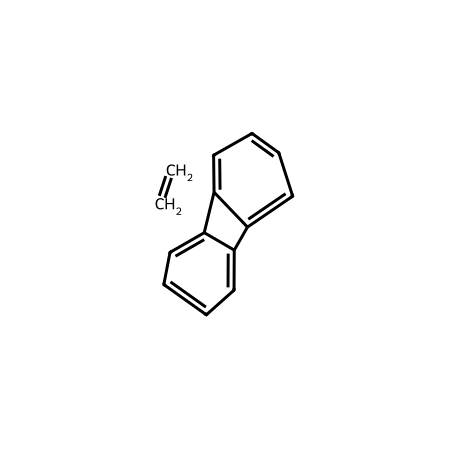 C=C.c1ccc2c(c1)-c1ccccc1-2